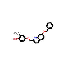 O=C(O)c1cc(OCc2ccc3ccc(OCc4ccccc4)cc3n2)ccc1O